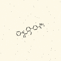 C=Cc1c(/C=C(/CC)N(C)c2ccccc2)cccc1-c1ccc(C(=C)N)cc1